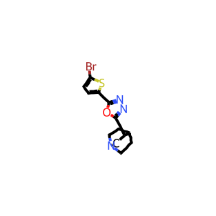 Brc1ccc(-c2nnc(C3CN4CCC3CC4)o2)s1